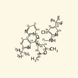 [2H]C([2H])([2H])c1ccc(-c2ncccn2)c(C(=O)N2C[C@@H](C)O[C@@H](C)[C@H]2CNc2ncc(C(F)(F)F)cc2Cl)n1